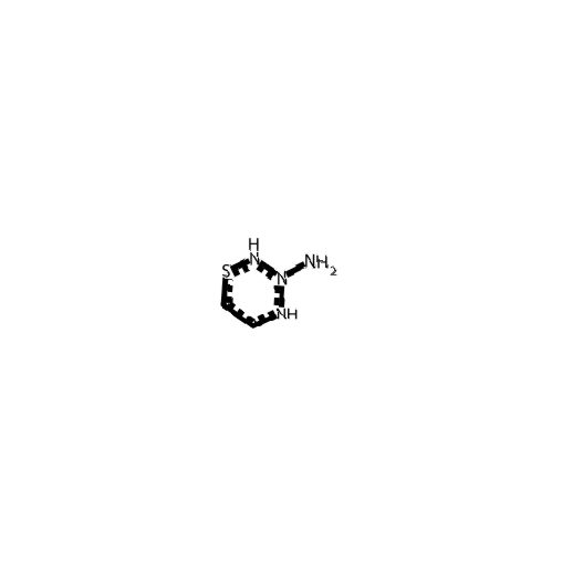 Nn1[nH]ccs[nH]1